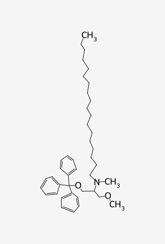 CCCCCCCCCCCCCCCCCCN(C)C(COC)COC(c1ccccc1)(c1ccccc1)c1ccccc1